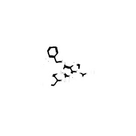 CCC(Nc1nc(NCc2cc(Cl)ccc2N)c2ncn(C(C)C)c2n1)C(C)(C)O